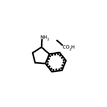 CC(=O)O.NC1CCc2ccccc21